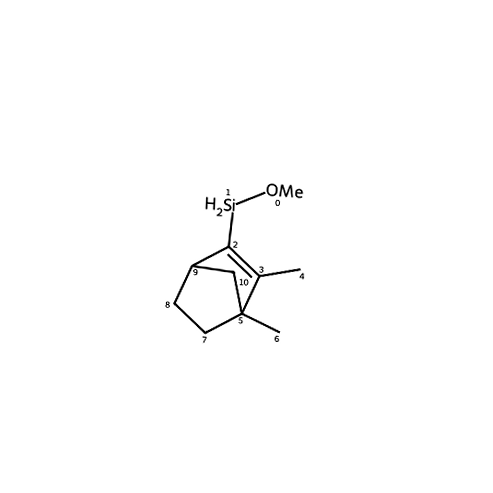 CO[SiH2]C1=C(C)C2(C)CCC1C2